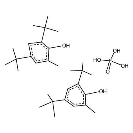 Cc1cc(C(C)(C)C)cc(C(C)(C)C)c1O.Cc1cc(C(C)(C)C)cc(C(C)(C)C)c1O.O=P(O)(O)O